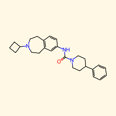 O=C(Nc1ccc2c(c1)CCN(C1CCC1)CC2)N1CCC(c2ccccc2)CC1